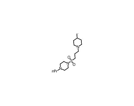 [CH2]C1CCN(CCCS(=O)(=O)N2CCN(CCC)CC2)CC1